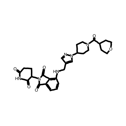 O=C1CCC(N2C(=O)c3cccc(NCc4cnn(C5CCN(C(=O)C6CCOCC6)CC5)c4)c3C2=O)C(=O)N1